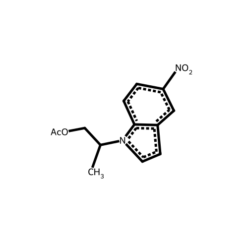 CC(=O)OCC(C)n1ccc2cc([N+](=O)[O-])ccc21